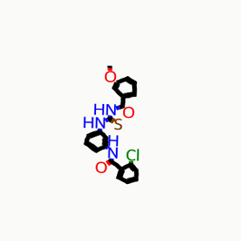 COc1cccc(C(=O)NC(=S)Nc2cccc(NC(=O)c3ccccc3Cl)c2)c1